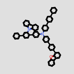 c1ccc(-c2ccc(-c3ccc(N(c4ccc(-c5ccc(-c6cccc7c6oc6ccccc67)cc5)cc4)c4ccc(-c5ccc(-c6ccccc6)cc5-n5c6ccccc6c6ccccc65)cc4)cc3)cc2)cc1